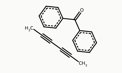 CC#CC#CC.O=C(c1ccccc1)c1ccccc1